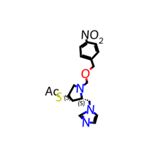 CC(=O)S[C@H]1C[C@@H](Cn2ccnc2)N(COCc2ccc([N+](=O)[O-])cc2)C1